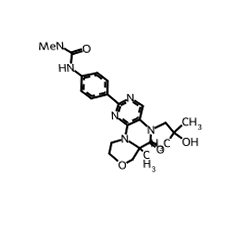 CNC(=O)Nc1ccc(-c2ncc3c(n2)N2CCOCC2(C)C(=O)N3CC(C)(C)O)cc1